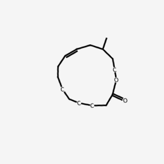 CC1C/C=C\CCCCCCCC(=O)OCC1